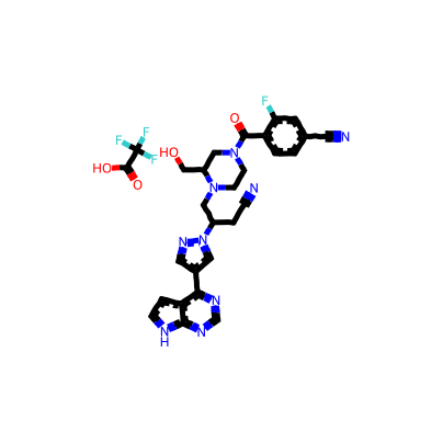 N#CCC(CN1CCN(C(=O)c2ccc(C#N)cc2F)CC1CO)n1cc(-c2ncnc3[nH]ccc23)cn1.O=C(O)C(F)(F)F